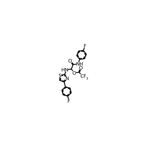 O=C(Nc1ccc(F)cc1)C(Nc1nc(-c2ccc(F)cc2)cs1)OC(=O)C(F)(F)F